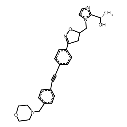 C[C@H](O)c1nccn1CC1CC(c2ccc(C#Cc3ccc(CN4CCOCC4)cc3)cc2)=NO1